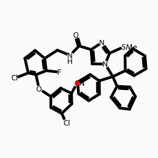 CSc1nc(C(=O)NCc2ccc(Cl)c(Oc3cc(Cl)cc(C#N)c3)c2F)cn1C(c1ccccc1)(c1ccccc1)c1ccccc1